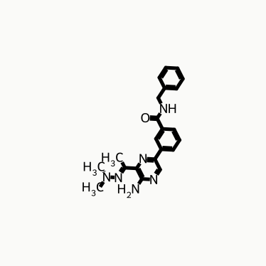 C/C(=N\N(C)C)c1nc(-c2cccc(C(=O)NCc3ccccc3)c2)cnc1N